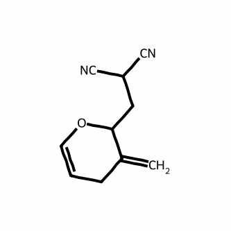 C=C1CC=COC1CC(C#N)C#N